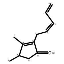 C=C/C=C\CC1=C(C)C(C)CC1=O